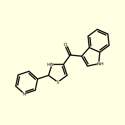 O=C(C1=CSC(c2cccnc2)N1)c1c[nH]c2ccccc12